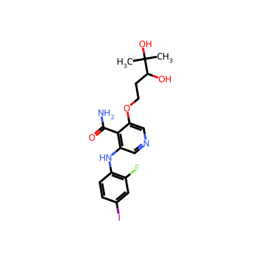 CC(C)(O)C(O)CCOc1cncc(Nc2ccc(I)cc2F)c1C(N)=O